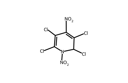 O=[N+]([O-])C1=C(Cl)C(Cl)N([N+](=O)[O-])C(Cl)=C1Cl